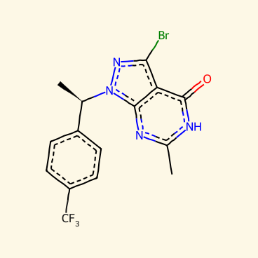 Cc1nc2c(c(Br)nn2[C@H](C)c2ccc(C(F)(F)F)cc2)c(=O)[nH]1